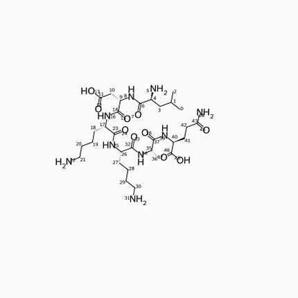 CC(C)C[C@H](N)C(=O)N[C@@H](CC(=O)O)C(=O)N[C@@H](CCCCN)C(=O)N[C@@H](CCCCN)C(=O)N[C@@H](C)C(=O)N[C@@H](CCC(N)=O)C(=O)O